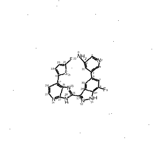 Nc1cncc(-c2cc(F)c3[nH]nc(-c4nc5c(-c6ccc(F)s6)ccnc5[nH]4)c3c2)c1